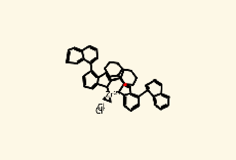 C1=C(C2CCCCC2)[CH]([Zr+2]2([CH]3C(C4CCCCC4)=Cc4c(-c5cccc6ccccc56)cccc43)[CH2][CH2]2)c2cccc(-c3cccc4ccccc34)c21.[Cl-].[Cl-]